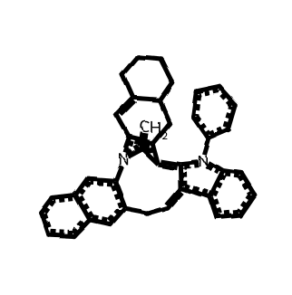 C=c1/c2c3c(n1-c1cc4ccccc4cc1C/C=c1\c=2n(-c2ccccc2)c2ccccc12)C=C1CCCCC1C3